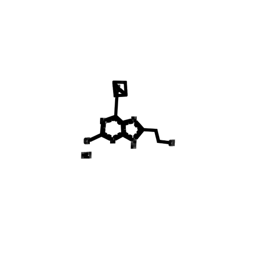 Cl.ClCCc1nc2c(N3CC4CC3C4)nc(Cl)nc2[nH]1